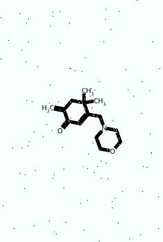 C=C1CC(C)(C)C(CN2CCOCC2)=CC1=O